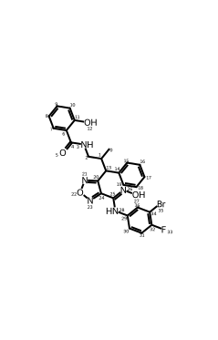 CC(CNC(=O)c1ccccc1O)C(c1ccccc1)c1nonc1C(=NO)Nc1ccc(F)c(Br)c1